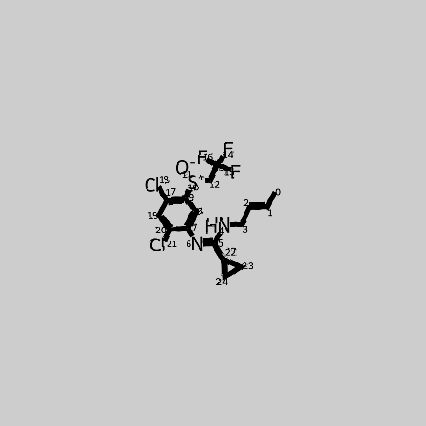 C/C=C/CN/C(=N\c1cc([S+]([O-])CC(F)(F)F)c(Cl)cc1Cl)C1CC1